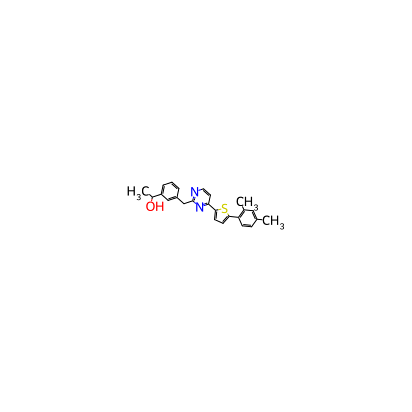 Cc1ccc(-c2ccc(-c3ccnc(Cc4cccc(C(C)O)c4)n3)s2)c(C)c1